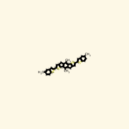 Cc1ccc2sc(-c3cc4c(s3)-c3c(C)c5c(c(C)c3C4)-c3sc(-c4cc6cc(C)ccc6s4)cc3C5)cc2c1